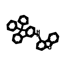 c1ccc(C2(c3ccccc3)c3ccccc3-c3cc(Nc4cccc5oc6ccccc6c45)ccc32)cc1